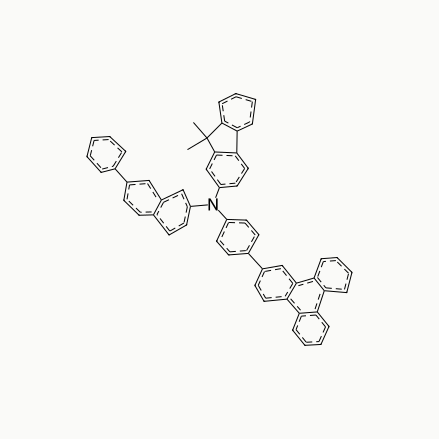 CC1(C)c2ccccc2-c2ccc(N(c3ccc(-c4ccc5c6ccccc6c6ccccc6c5c4)cc3)c3ccc4ccc(-c5ccccc5)cc4c3)cc21